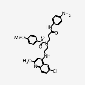 COc1ccc(S(=O)(=O)N(CCNc2cc(C)nc3ccc(Cl)cc23)CCC(=O)Nc2ccc(N)cc2)cc1